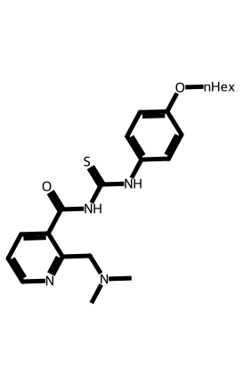 CCCCCCOc1ccc(NC(=S)NC(=O)c2cccnc2CN(C)C)cc1